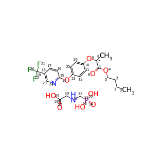 CCCCOC(=O)C(C)Oc1ccc(Oc2ccc(C(F)(F)F)cn2)cc1.O=C(O)CNCP(=O)(O)O